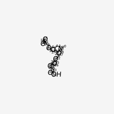 CCN1CCc2cc(OCCCS(C)(=O)=O)ccc2-c2cc(COc3ccc4c(c3)OC[C@H]4CC(=O)O)ccc21